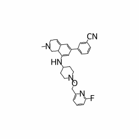 CN1CC=C2C=C(c3cccc(C#N)c3)C=C(NC3CCN(OCc4cccc(F)n4)CC3)C2C1